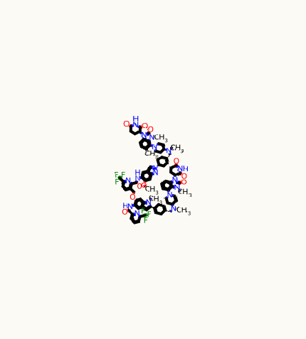 COc1cc2nn([C@H]3CC[C@H](CN(C)C4CCN(c5c(C)ccc6c5n(C)c(=O)n6C5CCC(=O)NC5=O)CC4)CC3)cc2cc1NC(=O)c1nc(C(F)(F)F)ccc1COc1cc2c(cc1NC(=O)c1cccc(C(F)(F)F)n1)cc([C@H]1CC[C@H](CN(C)C3CCN(c4cccc5c4n(C)c(=O)n5C4CCC(=O)NC4=O)CC3)CC1)n2C